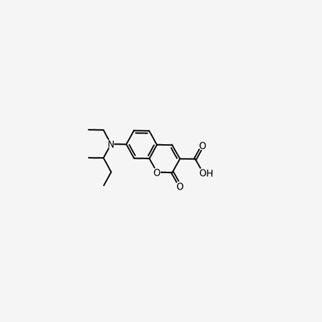 CCC(C)N(CC)c1ccc2cc(C(=O)O)c(=O)oc2c1